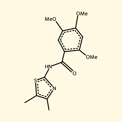 COc1cc(OC)c(C(=O)Nc2nc(C)c(C)s2)cc1OC